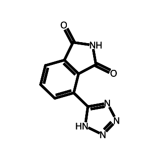 O=C1NC(=O)c2c1cccc2-c1nnn[nH]1